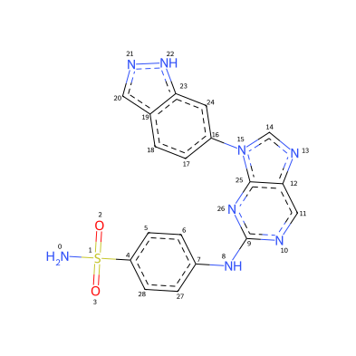 NS(=O)(=O)c1ccc(Nc2ncc3ncn(-c4ccc5cn[nH]c5c4)c3n2)cc1